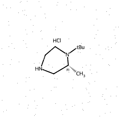 C[C@@H]1CNCCN1C(C)(C)C.Cl